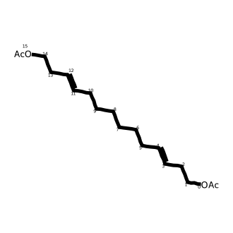 CC(=O)OCCC=CCCCCCCC=CCCOC(C)=O